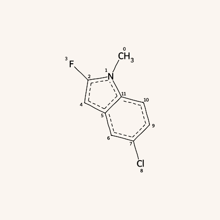 Cn1c(F)cc2cc(Cl)ccc21